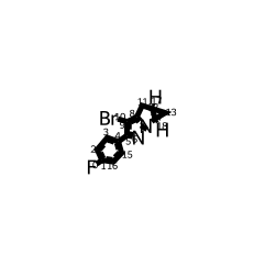 Fc1ccc(-c2nn3c(c2Br)C[C@@H]2C[C@@H]23)cc1